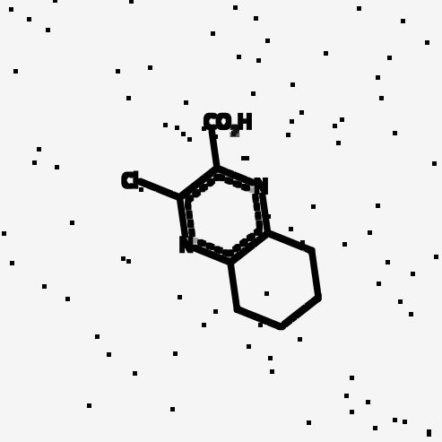 O=C(O)c1nc2c(nc1Cl)CCCC2